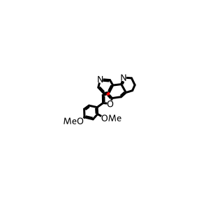 COc1ccc(-c2ccc(/C=C3/CCCN=C3c3cccnc3)o2)c(OC)c1